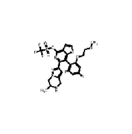 COCCOc1cc(F)cc(F)c1-c1c(-c2cc3n(n2)CC(C)NC3)nc(OS(=O)(=O)C(F)(F)F)c2ccsc12